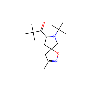 CC1=NOC2(C1)CC(C(=O)C(C)(C)C)N(C(C)(C)C)C2